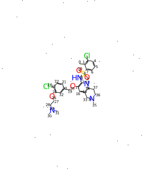 Cc1c(Cl)cccc1S(=O)(=O)Nc1nc2c(cc1OCc1ccc(Cl)c(OCCN(C)C)c1)CN(C)CC2